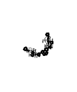 CC(C)C(NC(=O)Oc1ccccc1)C(=O)N1CCCC1c1ncc(-c2ccc(-c3ccc(-c4ccc5nc([C@@H]6CCCN6C(=O)C(NC(=O)Oc6ccccc6)C(C)C)[nH]c5c4)c4c3C3(CCCC3)CC4)cc2)[nH]1